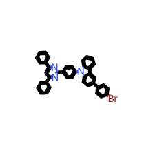 Brc1ccc(-c2ccc3c(c2)c2ccccc2n3-c2ccc(-c3nc(-c4ccccc4)cc(-c4ccccc4)n3)cc2)cc1